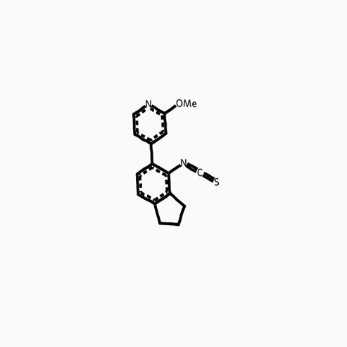 COc1cc(-c2ccc3c(c2N=C=S)CCC3)ccn1